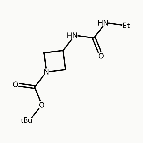 CCNC(=O)NC1CN(C(=O)OC(C)(C)C)C1